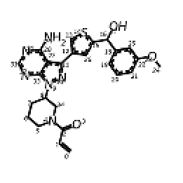 C=CC(=O)N1CCCC(n2nc(-c3csc(C(O)c4cccc(OC)c4)c3)c3c(N)ncnc32)C1